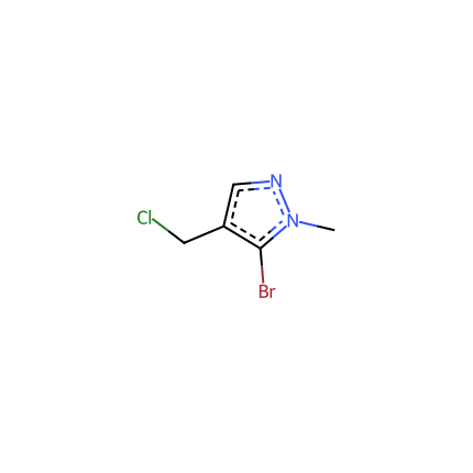 Cn1ncc(CCl)c1Br